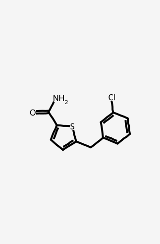 NC(=O)c1ccc(Cc2cccc(Cl)c2)s1